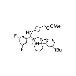 COOCC1CC(NC(c2cc(F)cc(F)c2)[C@H](O)CNC2(c3cccc(C(C)(C)C)c3)CCCCC2)C1